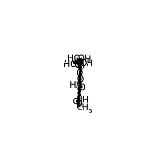 CCOC(=O)NCCCCCC(=O)NCCOCCOCCO[C@H]1OC(CO)[C@@H](O)[C@H](O)C1O